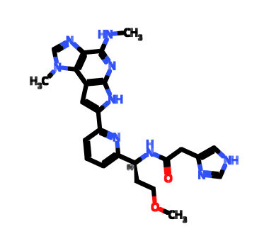 CNc1nc2[nH]c(-c3cccc([C@H](CCOC)NC(=O)Cc4c[nH]cn4)n3)cc2c2c1ncn2C